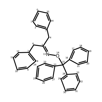 c1ccc(CC(Cc2ccccc2)=NOC(c2ccccc2)(c2ccccc2)c2ccccc2)cc1